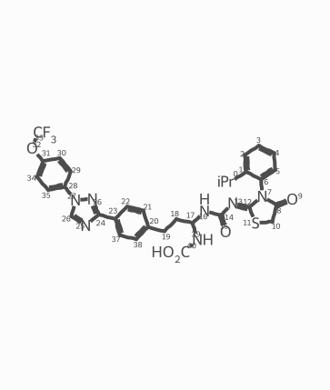 CC(C)c1ccccc1N1C(=O)CS/C1=N\C(=O)NC(CCc1ccc(-c2ncn(-c3ccc(OC(F)(F)F)cc3)n2)cc1)NC(=O)O